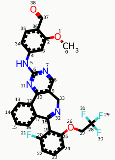 COc1cc(Nc2ncc3c(n2)-c2ccccc2C(c2c(F)cccc2OCC(F)(F)F)=NC3)ccc1C=O